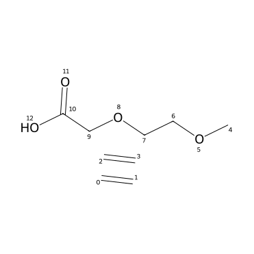 C=C.C=C.COCCOCC(=O)O